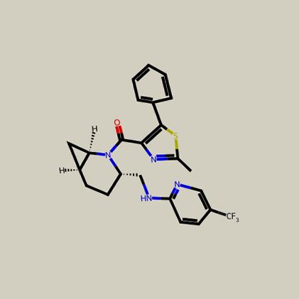 Cc1nc(C(=O)N2[C@H](CNc3ccc(C(F)(F)F)cn3)CC[C@H]3C[C@H]32)c(-c2ccccc2)s1